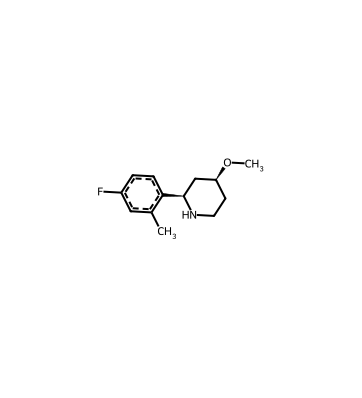 CO[C@H]1CCN[C@@H](c2ccc(F)cc2C)C1